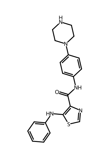 O=C(Nc1ccc(N2CCNCC2)cc1)c1ncsc1Nc1ccccc1